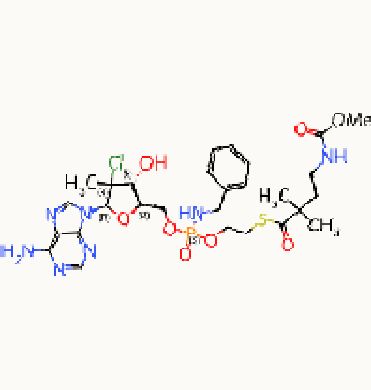 COC(=O)NCCC(C)(C)C(=O)SCCO[P@](=O)(NCc1ccccc1)OC[C@H]1O[C@@H](n2cnc3c(N)ncnc32)[C@](C)(Cl)[C@@H]1O